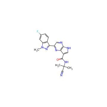 Cn1nc(-c2cnc3[nH]cc(C(=O)NC(C)(C)C#N)c3n2)c2ccc(F)cc21